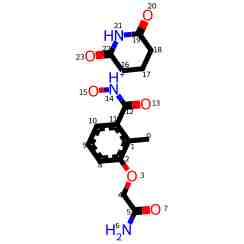 Cc1c(OCC(N)=O)cccc1C(=O)[NH+]([O-])C1CCC(=O)NC1=O